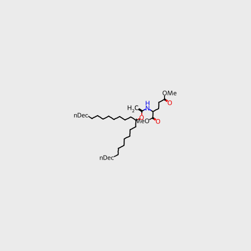 C=C(NC(CCC(=O)OC)C(=O)OC)OC(CCCCCCCCCCCCCCCCC)CCCCCCCCCCCCCCCCCC